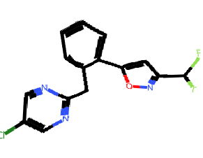 FC(F)c1cc(-c2ccccc2Cc2ncc(Cl)cn2)on1